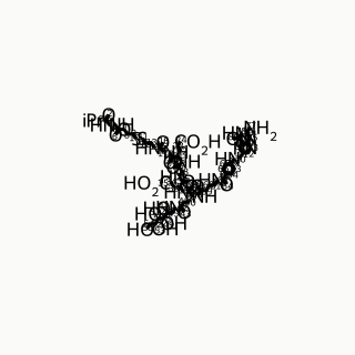 CC(C)C(=O)NNC(=O)OCCSSCCNC(=O)CNC(=O)[C@H](CCC(=O)O)NC(=O)CNC(=O)[C@H](CCC(=O)O)NC(=O)[C@H](CCC(=O)NC[C@H](O)[C@@H](O)[C@H](O)[C@H](O)CO)NC(=O)CCCNC(=O)c1ccc(NCc2cnc3nc(N)[nH]c(=O)c3n2)cc1